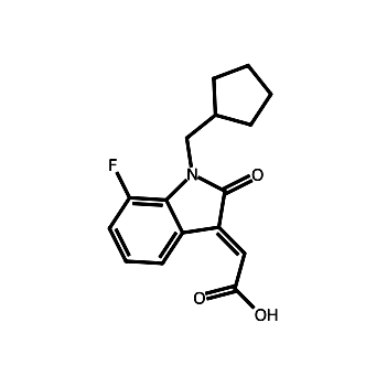 O=C(O)/C=C1/C(=O)N(CC2CCCC2)c2c(F)cccc21